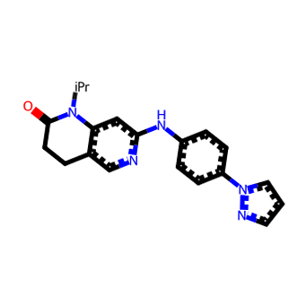 CC(C)N1C(=O)CCc2cnc(Nc3ccc(-n4cccn4)cc3)cc21